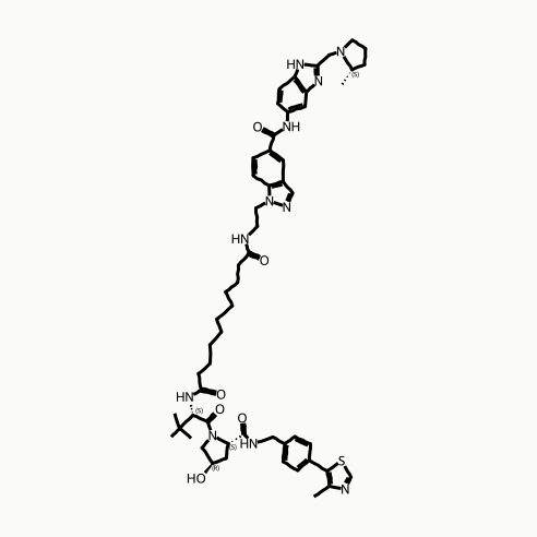 Cc1ncsc1-c1ccc(CNC(=O)[C@@H]2C[C@@H](O)CN2C(=O)[C@@H](NC(=O)CCCCCCCCCC(=O)NCCn2ncc3cc(C(=O)Nc4ccc5[nH]c(CN6CCC[C@@H]6C)nc5c4)ccc32)C(C)(C)C)cc1